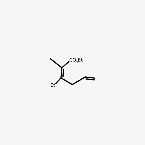 C=CCC(CC)=C(C)C(=O)OCC